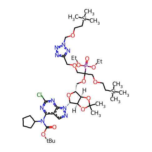 CCOP(=O)(OCC)C(COCC[Si](C)(C)C)(COCc1nnn(COCC[Si](C)(C)C)n1)OC[C@H]1O[C@@H](n2ncc3c(N(C(=O)OC(C)(C)C)C4CCCC4)nc(Cl)nc32)[C@@H]2OC(C)(C)O[C@@H]21